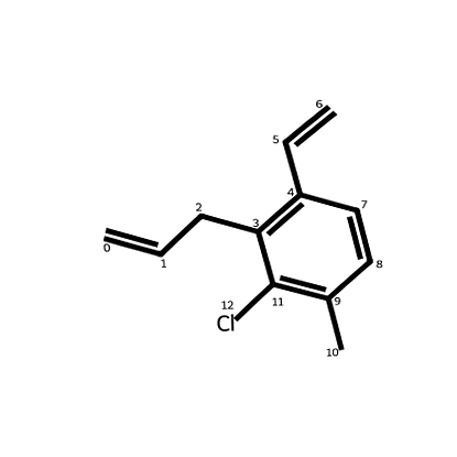 C=CCc1c(C=C)ccc(C)c1Cl